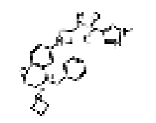 Cn1cc(S(=O)(=O)NC2CN(c3ccc4c(c3)[C@@H](Cc3ccccc3)[C@@H](N3CCC3)CO4)C2)cn1